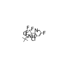 CC(C)(C)[S+]([O-])N[C@H](c1ncc(F)cc1Cl)C(F)(F)F